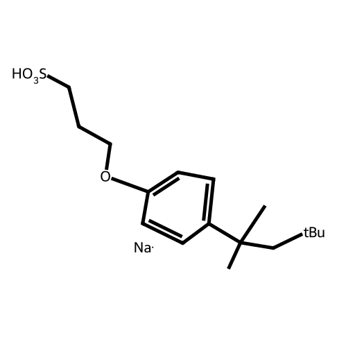 CC(C)(C)CC(C)(C)c1ccc(OCCCS(=O)(=O)O)cc1.[Na]